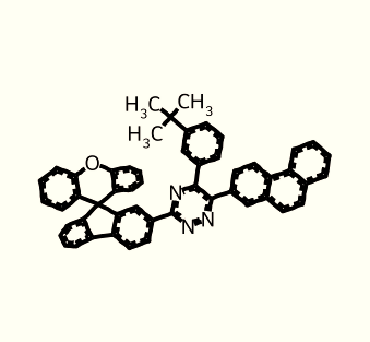 CC(C)(C)c1cccc(-c2nc(-c3ccc4c(c3)C3(c5ccccc5Oc5ccccc53)c3ccccc3-4)nnc2-c2ccc3c(ccc4ccccc43)c2)c1